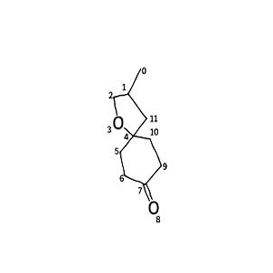 CC1COC2(CCC(=O)CC2)C1